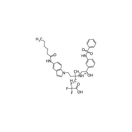 CCCCCC(=O)Nc1ccc2c(ccn2CCC(C)(C)NC[C@H](O)c2cccc(NS(=O)(=O)c3ccccc3)c2)c1.O=C(O)C(F)(F)F